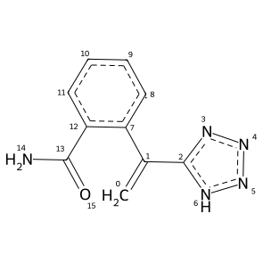 C=C(c1nnn[nH]1)c1[c]cccc1C(N)=O